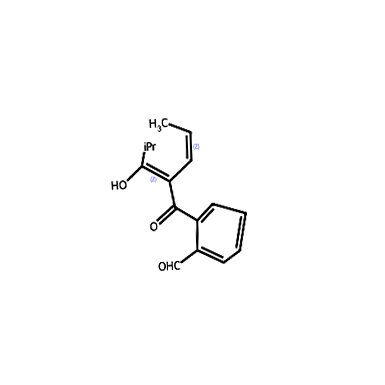 C/C=C\C(C(=O)c1ccccc1C=O)=C(\O)C(C)C